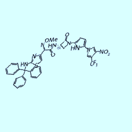 CON=C(C(=O)N[C@H]1CN(c2ccc(-n3cc([N+](=O)[O-])c(C(F)(F)F)c3)[nH]2)C1=O)c1csc(NC(c2ccccc2)(c2ccccc2)c2ccccc2)n1